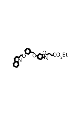 CCOC(=O)CCC1Oc2cc(OCc3cccc(OCc4ccc5ccccc5n4)c3)ccc2N1C